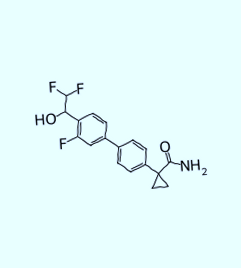 NC(=O)C1(c2ccc(-c3ccc(C(O)C(F)F)c(F)c3)cc2)CC1